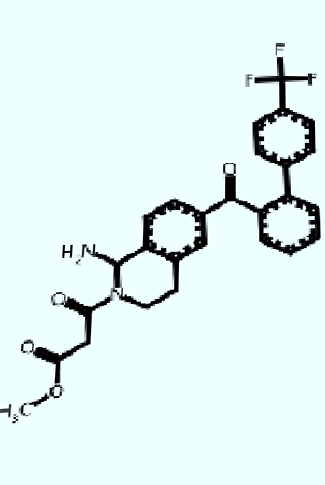 COC(=O)CC(=O)N1CCc2cc(C(=O)c3ccccc3-c3ccc(C(F)(F)F)cc3)ccc2C1N